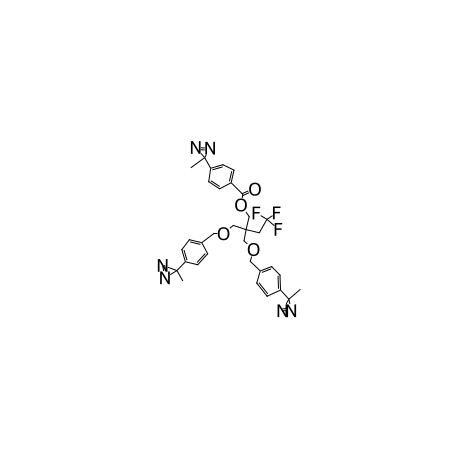 CC1(c2ccc(COCC(COCc3ccc(C4(C)N=N4)cc3)(COC(=O)c3ccc(C4(C)N=N4)cc3)CC(F)(F)F)cc2)N=N1